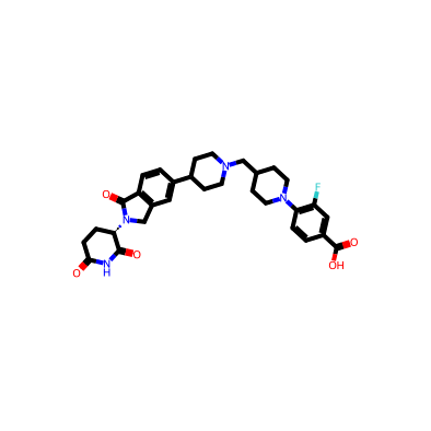 O=C1CC[C@H](N2Cc3cc(C4CCN(CC5CCN(c6ccc(C(=O)O)cc6F)CC5)CC4)ccc3C2=O)C(=O)N1